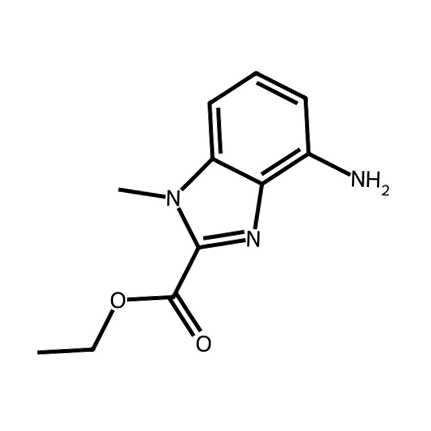 CCOC(=O)c1nc2c(N)cccc2n1C